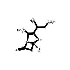 NC(CC(=O)O)C1=C(C(=O)O)N2C(=O)C[C@H]2S1